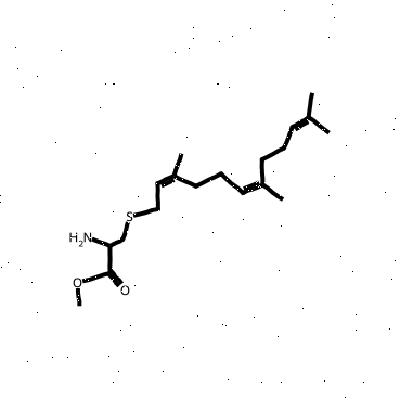 COC(=O)C(N)CSCC=C(C)CCC=C(C)CCC=C(C)C